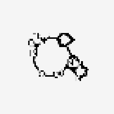 CCN1C(=O)NCCOCCOc2nc(cn3ccnc23)-c2cccc(c2)[C@H]1C